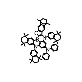 CC1(C)CCC(C)(C)c2cc(N3c4cc5c(cc4B4c6oc7cc8c(cc7c6N(c6ccc7c(c6)C(C)(C)CCC7(C)C)c6cc(N(c7ccccc7)c7ccccc7)cc3c64)C3(C)CCC8(C)CC3)C(C)(C)CCC5(C)C)ccc21